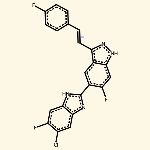 Fc1ccc(/C=C/c2n[nH]c3cc(F)c(-c4nc5cc(Cl)c(F)cc5[nH]4)cc23)cc1